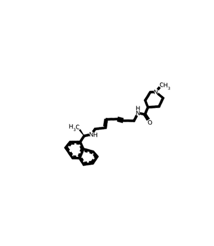 C[C@@H](NC/C=C/C#CCNC(=O)C1CCN(C)CC1)c1cccc2ccccc12